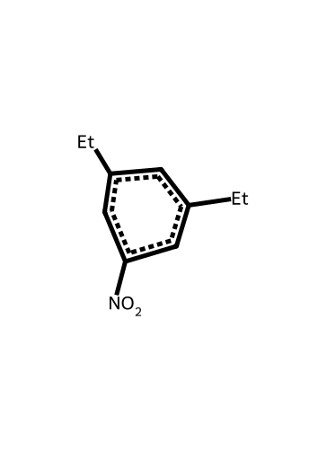 CCc1cc(CC)cc([N+](=O)[O-])c1